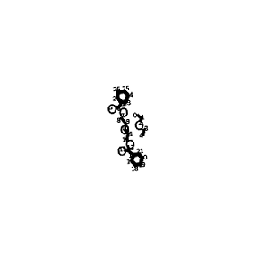 CCOCC.O=C(OCCOCCOC(=O)c1ccccc1)c1ccccc1